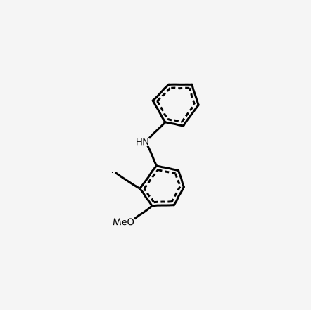 [CH2]c1c(Nc2ccccc2)cccc1OC